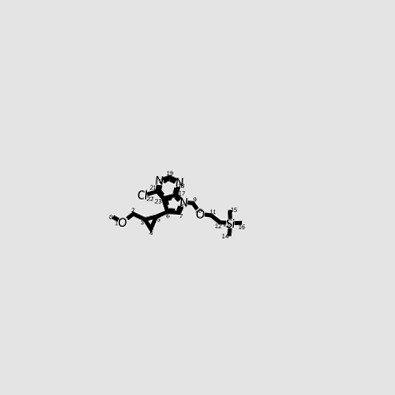 COCC1CC1c1cn(COCC[Si](C)(C)C)c2ncnc(Cl)c12